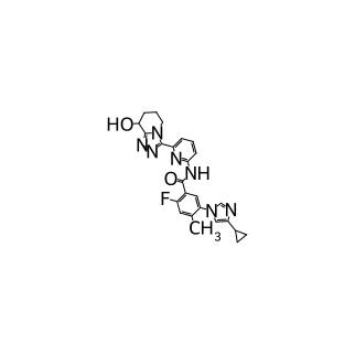 Cc1cc(F)c(C(=O)Nc2cccc(-c3nnc4n3CCCC4O)n2)cc1-n1cnc(C2CC2)c1